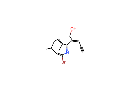 C#C\C=C(CO)/C1=N/C(Br)=C\C(C)C\C=C\1C